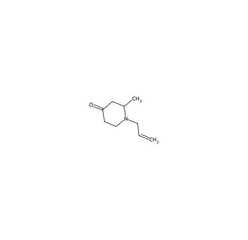 C=CCN1CCC(=O)CC1C